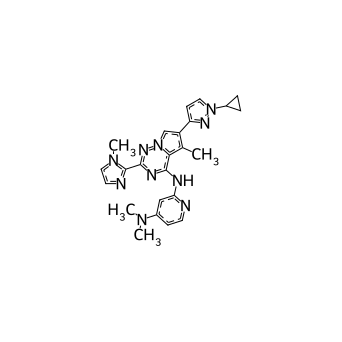 Cc1c(-c2ccn(C3CC3)n2)cn2nc(-c3nccn3C)nc(Nc3cc(N(C)C)ccn3)c12